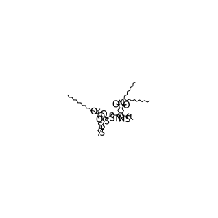 CCCCCCCCCCCCOCC1(CC)COc2c(-c3ccc(-c4nnc(-c5ccc(C)s5)c5cc6c(cc45)C(=O)N(CC(CCCCCCCC)CCCCCCCCCC)C6=O)s3)sc(-c3cc4sc(C)cc4s3)c2OC1